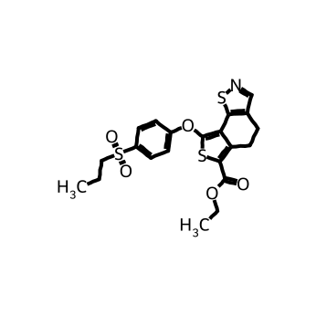 CCCS(=O)(=O)c1ccc(Oc2sc(C(=O)OCC)c3c2-c2sncc2CC3)cc1